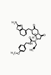 C#CCN(C(=O)NCc1ccc(OC)cc1)N1CC(=O)N2CC(=O)N(CC3=CCCc4sc(N)nc43)C[C@@H]21